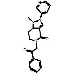 CN1C2CCN(CC(=O)c3ccccc3)C(=O)C2=CN1c1cccnc1